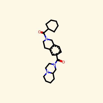 O=C(c1ccc2c(c1)CCN(C(=O)C1CCCCC1)C2)N1CCN2CCCCC2C1